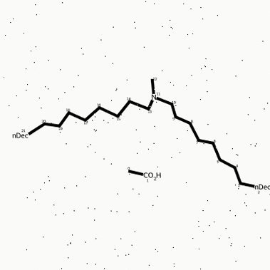 CC(=O)O.CCCCCCCCCCCCCCCCCCN(C)CCCCCCCCCCCCCCCCCC